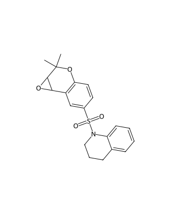 CC1(C)Oc2ccc(S(=O)(=O)N3CCCc4ccccc43)cc2C2OC21